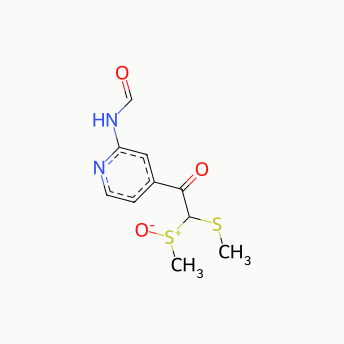 CSC(C(=O)c1ccnc(NC=O)c1)[S+](C)[O-]